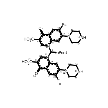 CCCCCC(n1cc(C(=O)O)c(=O)c2cc(F)c(N3CCNCC3)cc21)n1cc(C(=O)O)c(=O)c2cc(F)c(N3CCNCC3)cc21